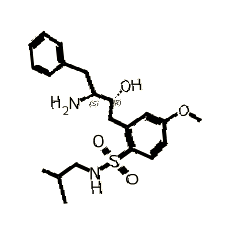 COc1ccc(S(=O)(=O)NCC(C)C)c(C[C@@H](O)[C@@H](N)Cc2ccccc2)c1